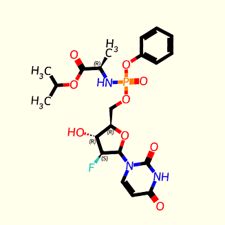 CC(C)OC(=O)[C@@H](C)NP(=O)(OC[C@H]1OC(n2ccc(=O)[nH]c2=O)[C@@H](F)[C@@H]1O)Oc1ccccc1